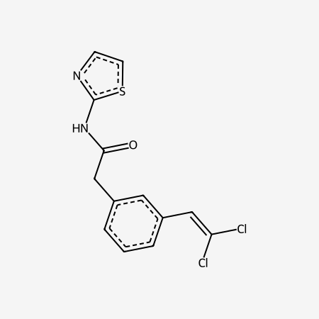 O=C(Cc1cccc(C=C(Cl)Cl)c1)Nc1nccs1